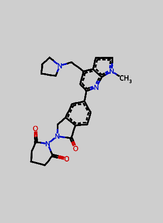 Cn1ccc2c(CN3CCCC3)cc(-c3ccc4c(c3)CN(N3C(=O)CCCC3=O)C4=O)nc21